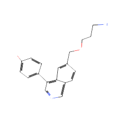 NCCCOCc1ccc2cncc(-c3ccc(O)cc3)c2c1